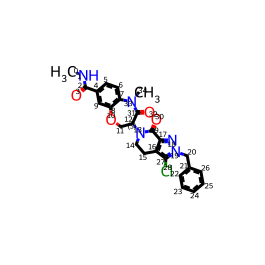 CNC(=O)c1ccc2c(c1)OC[C@H](N1CCc3c(nn(Cc4ccccc4)c3Cl)C1=O)C(=O)N2C